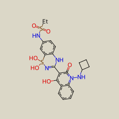 CCS(=O)(=O)Nc1ccc2c(c1)S(O)(O)N=C(c1c(O)c3ccccc3n(NC3CCC3)c1=O)N2